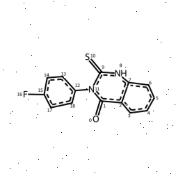 O=c1c2ccccc2[nH]c(=S)n1-c1ccc(F)cc1